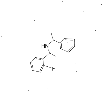 CC(NC(C)c1ccccc1F)c1ccccc1